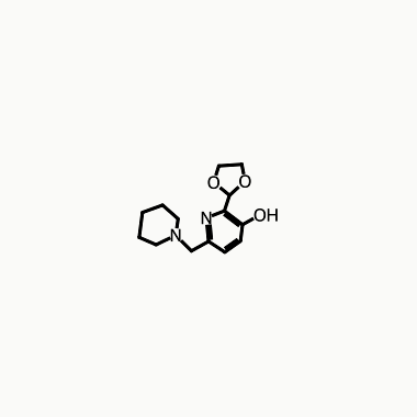 Oc1ccc(CN2CCCCC2)nc1C1OCCO1